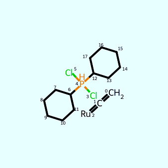 C=[C]=[Ru].Cl[PH](Cl)(C1CCCCC1)C1CCCCC1